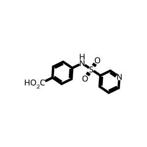 O=C(O)c1ccc(NS(=O)(=O)c2cccnc2)cc1